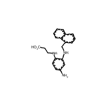 Nc1ccc(NCCC(=O)O)c(NCc2cccc3ccccc23)c1